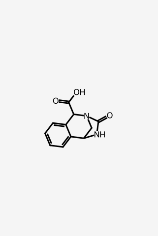 O=C(O)C1c2ccccc2C2CN1C(=O)N2